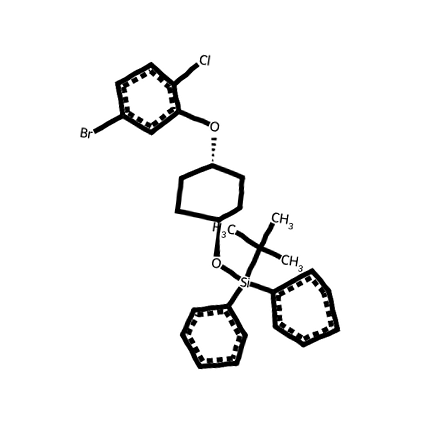 CC(C)(C)[Si](O[C@H]1CC[C@H](Oc2cc(Br)ccc2Cl)CC1)(c1ccccc1)c1ccccc1